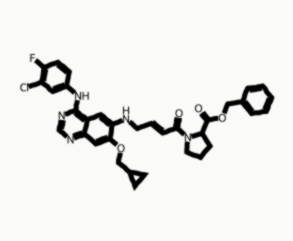 O=C(OCc1ccccc1)C1CCCN1C(=O)C=CCNc1cc2c(Nc3ccc(F)c(Cl)c3)ncnc2cc1OCC1CC1